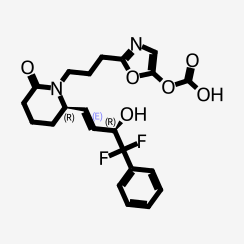 O=C(O)Oc1cnc(CCCN2C(=O)CCC[C@@H]2/C=C/[C@@H](O)C(F)(F)c2ccccc2)o1